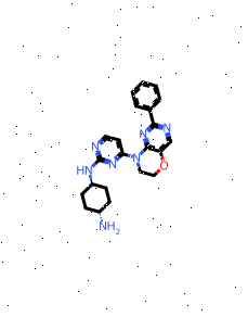 N[C@H]1CC[C@H](Nc2nccc(N3CCOc4cnc(-c5ccccc5)nc43)n2)CC1